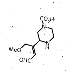 COCC(=CC=O)[C@H]1CN(C(=O)O)CCN1